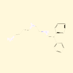 CN(CCCCN)CCNCC(c1ccccc1)c1ccccc1